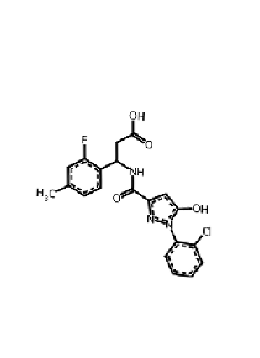 Cc1ccc(C(CC(=O)O)NC(=O)c2cc(O)n(-c3ccccc3Cl)n2)c(F)c1